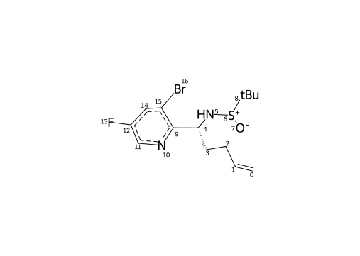 C=CCC[C@@H](N[S+]([O-])C(C)(C)C)c1ncc(F)cc1Br